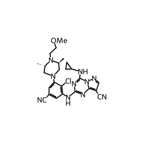 COCCN1[C@@H](C)CN(c2cc(C#N)cc(Nc3nc(NC4CC4)n4ncc(C#N)c4n3)c2Cl)C[C@@H]1C